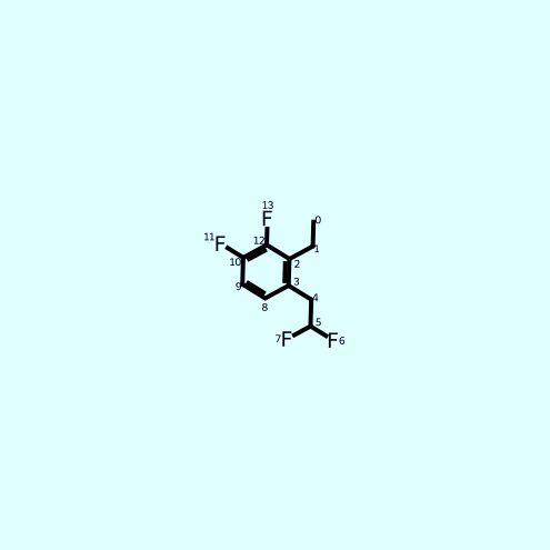 CCc1c(CC(F)F)ccc(F)c1F